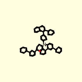 c1ccc(-c2cccc(-c3ccc(N(c4ccc(-c5c(-c6ccccc6)ccc6ccccc56)cc4)c4ccc(-c5ccccc5)cc4-c4ccccc4)cc3)c2)cc1